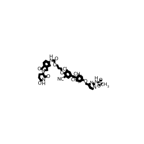 CC(C)(c1ccc(OCc2ccnc(NS(C)(=O)=O)n2)cc1)c1cc(Cl)c(OCCCOC(=O)Nc2ccc3c(c2)CN(C2CCC(=O)NC2=O)C3=O)c(C#N)c1